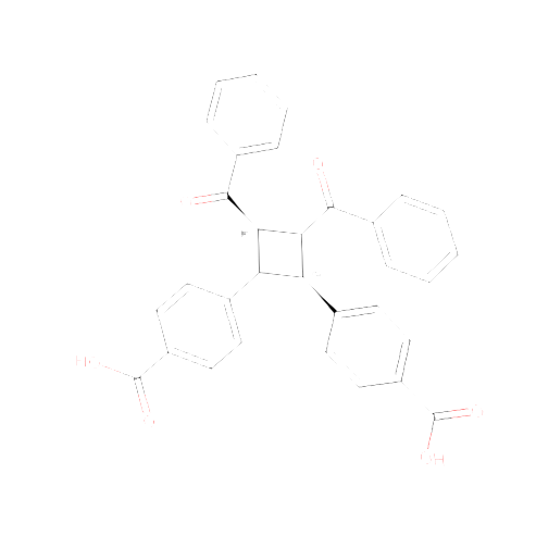 O=C(O)c1ccc(C2[C@@H](C(=O)c3ccccc3)C(C(=O)c3ccccc3)[C@H]2c2ccc(C(=O)O)cc2)cc1